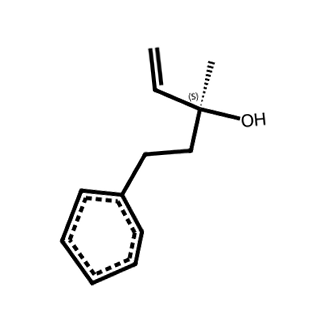 C=C[C@@](C)(O)CCc1ccccc1